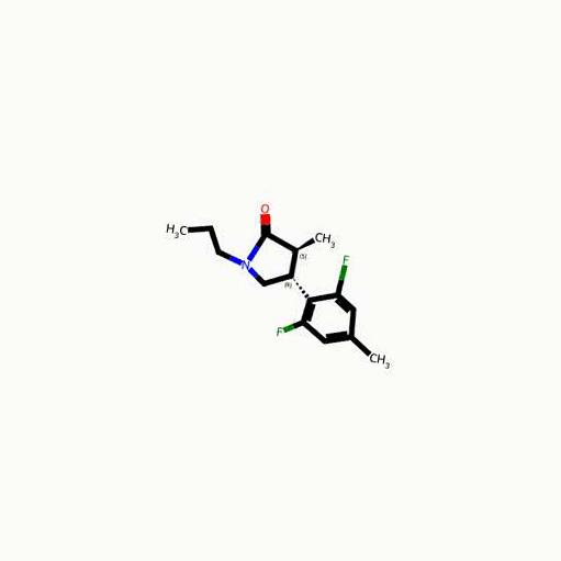 CCCN1C[C@@H](c2c(F)cc(C)cc2F)[C@H](C)C1=O